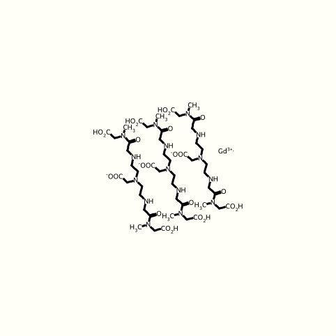 CN(CC(=O)O)C(=O)CNCCN(CCNCC(=O)N(C)CC(=O)O)CC(=O)[O-].CN(CC(=O)O)C(=O)CNCCN(CCNCC(=O)N(C)CC(=O)O)CC(=O)[O-].CN(CC(=O)O)C(=O)CNCCN(CCNCC(=O)N(C)CC(=O)O)CC(=O)[O-].[Gd+3]